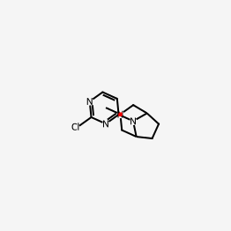 CN1CC2CCC(C1)N2c1ccnc(Cl)n1